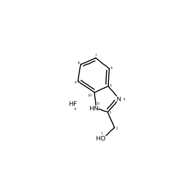 F.OCc1nc2ccccc2[nH]1